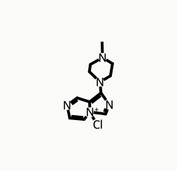 CN1CCN(C2=C3C=NC=C[N+]3(Cl)C=N2)CC1